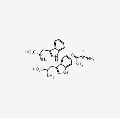 C[C@H](N)C(N)=O.NC(Cc1c[nH]c2ccccc12)C(=O)O.N[C@@H](Cc1c[nH]c2ccccc12)C(=O)O